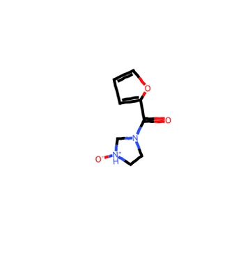 O=C(c1ccco1)N1CC[NH+]([O-])C1